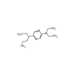 CCCC(CC)c1cnc(N(CC)CC)cn1